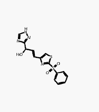 O=S(=O)(c1ccccc1)c1nc(C=CC(O)c2nc[nH]n2)cs1